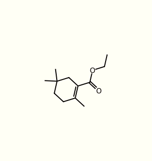 CCOC(=O)C1=C(C)CCC(C)(C)C1